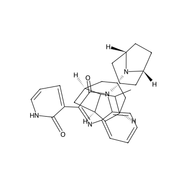 CC1C2[C@H]3C[C@@H]1C[C@@H](N1[C@@H]4CC[C@H]1C[C@@H](n1c(=O)c(-c5ccc[nH]c5=O)nc5ccccc51)C4)C[C@@H]2C3